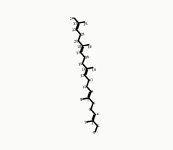 [CH2]C/C(C)=C/CC/C(C)=C/CC/C=C(\C)CC/C=C(\C)CCC=C(C)C